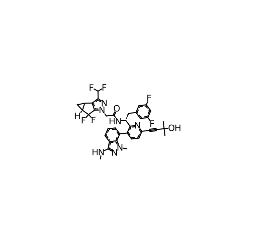 CNc1nn(C)c2c(-c3ccc(C#CC(C)(C)O)nc3[C@H](Cc3cc(F)cc(F)c3)NC(=O)Cn3nc(C(F)F)c4c3C(F)(F)[C@@H]3CC43)cccc12